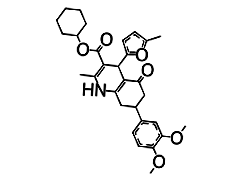 COc1ccc(C2CC(=O)C3=C(C2)NC(C)=C(C(=O)OC2CCCCC2)C3c2ccc(C)o2)cc1OC